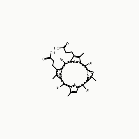 CC1=Cc2nc1c(Br)c1[nH]c(c(Br)c3nc(c(Br)c4cc(C)c([nH]4)c2Br)C(C)=C3CCC(=O)O)c(CCC(=O)O)c1C